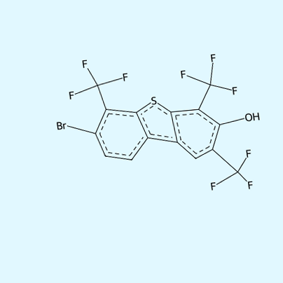 Oc1c(C(F)(F)F)cc2c(sc3c(C(F)(F)F)c(Br)ccc32)c1C(F)(F)F